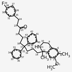 COc1cc2c(cc1C)CCNC2(C)CCCC(CCCC(=O)CCc1ccc(F)cc1)(c1ccccc1)c1ccccc1